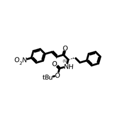 CC(C)(C)OC(=O)N[C@@H](CCc1ccccc1)C(=O)[C]=Cc1ccc([N+](=O)[O-])cc1